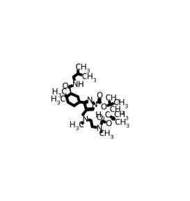 CC(C)CNC(=O)[C@H]1CC(c2nn(C(=O)OC(C)(C)C)cc2CN(C)CCN(C)C(=O)OC(C)(C)C)CCC1(C)C